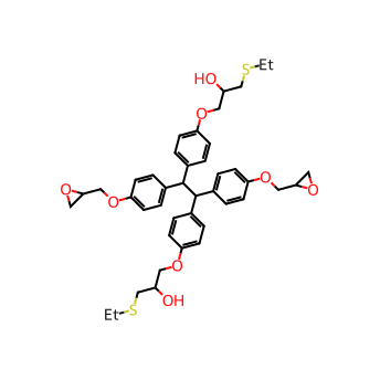 CCSCC(O)COc1ccc(C(c2ccc(OCC3CO3)cc2)C(c2ccc(OCC(O)CSCC)cc2)c2ccc(OCC3CO3)cc2)cc1